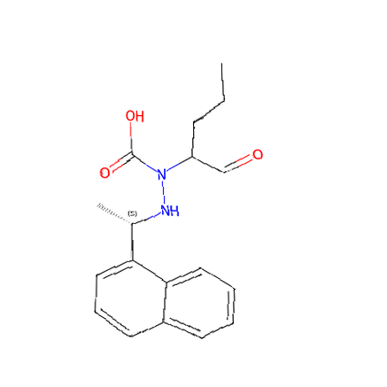 CCCC(C=O)N(N[C@@H](C)c1cccc2ccccc12)C(=O)O